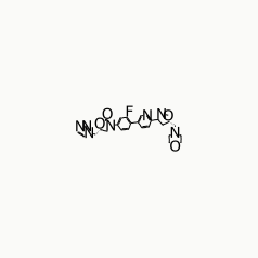 O=C1O[C@@H](Cn2ccnn2)CN1c1ccc(-c2ccc(C3=NO[C@H](CN4CCOCC4)C3)nc2)c(F)c1